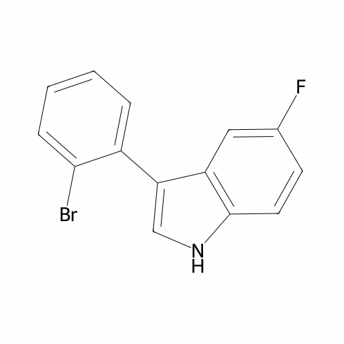 Fc1ccc2[nH]cc(-c3ccccc3Br)c2c1